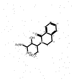 CC(=O)NC(N)C(O)C(CC(=O)O)N1CCc2ccccc2C1=O